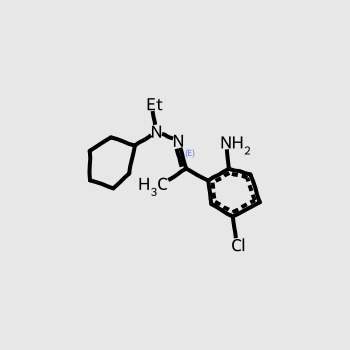 CCN(/N=C(\C)c1cc(Cl)ccc1N)C1CCCCC1